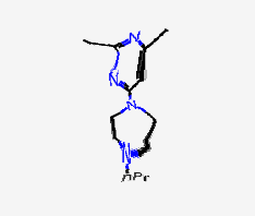 CCCN1CCN(c2cc(C)nc(C)n2)CC1